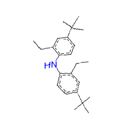 CCc1cc(C(C)(C)C)ccc1Nc1ccc(C(C)(C)C)cc1CC